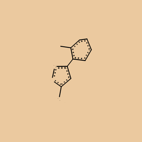 Nc1[c]c(-c2ccccc2F)no1